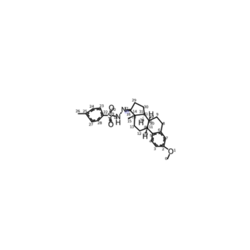 COc1ccc2c(c1)CC[C@@H]1[C@H]2CC[C@]2(C)/C(=N\NS(=O)(=O)c3ccc(C)cc3)CC[C@@H]12